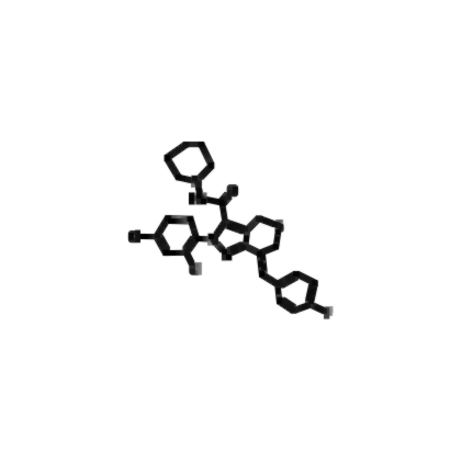 O=C(NN1CCCCC1)c1c2c(nn1-c1ccc(Cl)cc1Cl)C(=Cc1ccc(F)cc1)CSC2